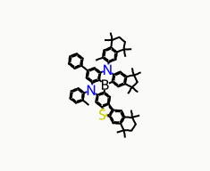 Cc1ccccc1N1c2cc3sc4cc5c(cc4c3cc2B2c3cc4c(cc3N(c3cc6c(cc3C)C(C)(C)CCC6(C)C)c3cc(-c6ccccc6)cc1c32)C(C)(C)CC4(C)C)C(C)(C)CCC5(C)C